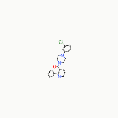 O=C(c1cccnc1-c1ccccc1)N1CCN(c2cccc(Cl)c2)CC1